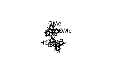 COc1ccc(C(OCc2cc(CO)cc(O[Si](c3ccccc3)(c3ccccc3)C(C)(C)C)c2)(c2ccccc2)c2ccc(OC)cc2)cc1